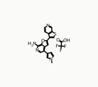 Cn1ccc(-c2cnc(N)c3oc(-c4csc5cnccc45)cc23)c1.O=C(O)C(F)(F)F